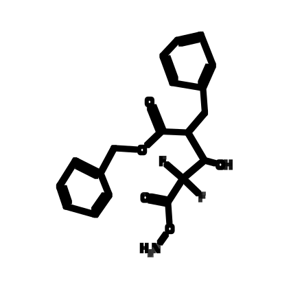 NOC(=O)C(F)(F)C(O)C(Cc1ccccc1)C(=O)OCc1ccccc1